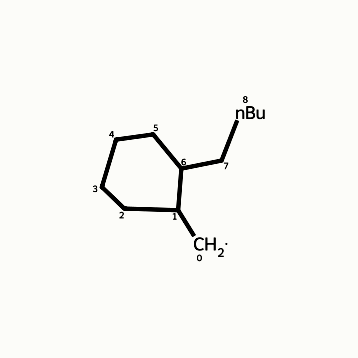 [CH2]C1CCCCC1CCCCC